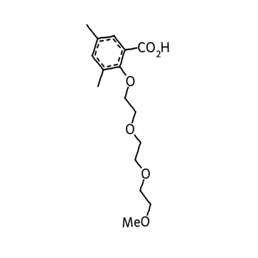 COCCOCCOCCOc1c(C)cc(C)cc1C(=O)O